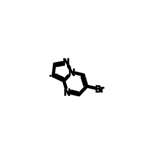 Brc1cnc2[c]cnn2c1